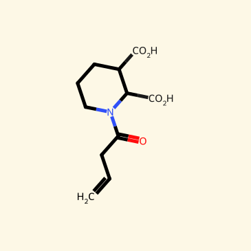 C=CCC(=O)N1CCCC(C(=O)O)C1C(=O)O